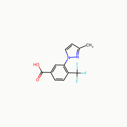 Cc1ccn(-c2cc(C(=O)O)ccc2C(F)(F)F)n1